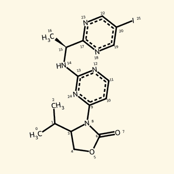 CC(C)C1COC(=O)N1c1ccnc(N[C@@H](C)c2ncc(I)cn2)n1